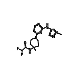 Cn1cc(Nc2nccc(N3CCC(C)(NC(=O)C(F)F)CC3)n2)cn1